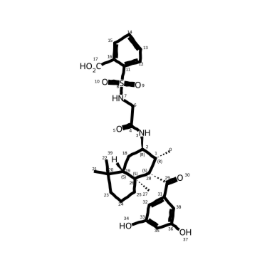 C[C@H]1[C@H](NC(=O)CNS(=O)(=O)c2ccccc2C(=O)O)C[C@H]2C(C)(C)CCC[C@]2(C)[C@H]1C(=O)c1cc(O)cc(O)c1